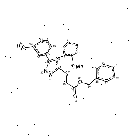 COc1ccccc1-n1c(SCC(=O)OCc2ccccc2)nnc1-c1cccc(C)c1